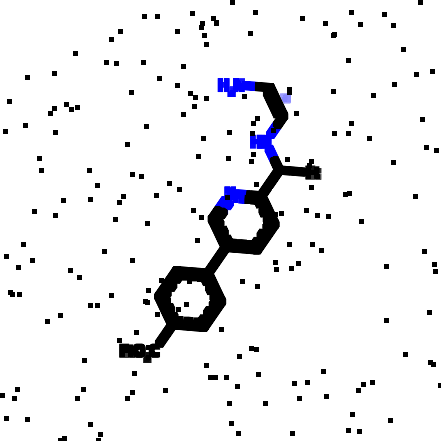 CCOC(=O)c1ccc(-c2ccc(C(CC)N/C=C\N)nc2)cc1